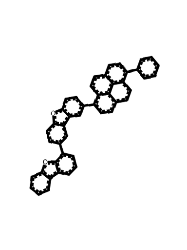 c1ccc(-c2ccc3ccc4c(-c5ccc6oc7ccc(-c8cccc9c8oc8ccccc89)cc7c6c5)ccc5ccc2c3c54)cc1